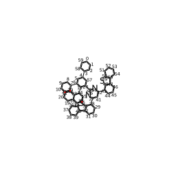 c1ccc(-c2cc(-c3ccccc3)c(-c3cccc4ccccc34)c(-c3nc(-c4cccc5c4sc4ccccc45)cc(-c4cccc5c4sc4ccccc45)n3)c2)cc1